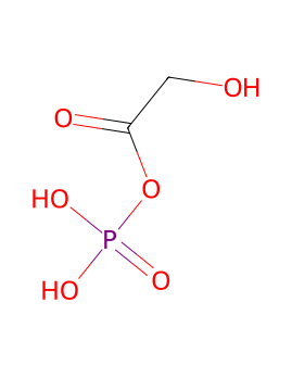 O=C(CO)OP(=O)(O)O